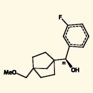 COCC12CCC([C@H](O)c3cccc(F)c3)(CC1)C2